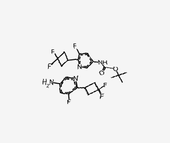 CC(C)(C)OC(=O)Nc1cnc(C2CC(F)(F)C2)c(F)c1.Nc1cnc(C2CC(F)(F)C2)c(F)c1